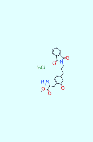 COC(=O)C(N)CC1=CC=C(CCCN2C(=O)c3ccccc3C2=O)CC1=O.Cl